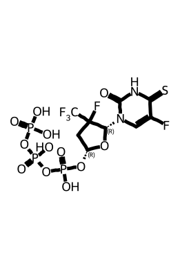 O=c1[nH]c(=S)c(F)cn1[C@@H]1O[C@H](OP(=O)(O)OP(=O)(O)OP(=O)(O)O)CC1(F)C(F)(F)F